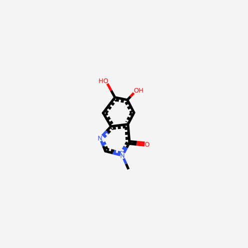 Cn1cnc2cc(O)c(O)cc2c1=O